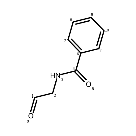 O=[C]CNC(=O)c1ccccc1